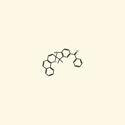 CC1(C)c2cc(C(=O)c3ccccc3)ccc2NC12C=Cc1ccc3ccccc3c1O2